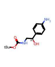 CC(C)(C)OC(=O)NC[C@H](O)c1ccc(N)cc1